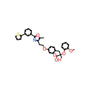 COc1ccccc1OC(C)(Cc1ccc(OCCc2nc(-c3cccc(-c4cccs4)c3)oc2C)cc1)C(=O)O